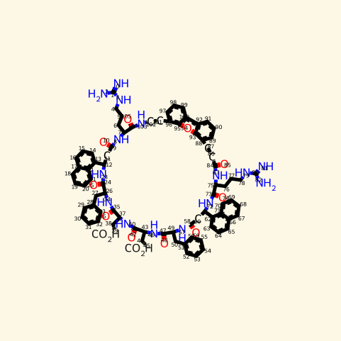 N=C(N)NCCCC1NC(=O)CC(c2cccc3ccccc23)NC(=O)C(Cc2ccccc2)NC(=O)C(CC(=O)O)NC(=O)C(CC(=O)O)NC(=O)C(Cc2ccccc2)NC(=O)CC(c2cccc3ccccc23)NC(=O)C(CCCNC(=N)N)NC(=O)CCc2cccc3c2oc2c(cccc23)CCNC1=O